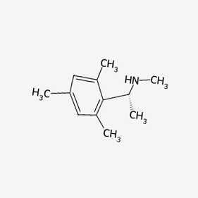 CN[C@H](C)c1c(C)cc(C)cc1C